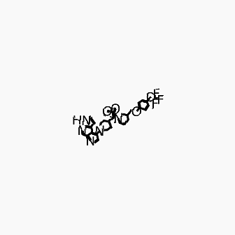 O=S(=O)=C(C1CCN(c2ccnc3cnc4[nH]ccc4c23)CC1)N1CCCC(COc2ccc(OC(F)(F)F)cc2)C1